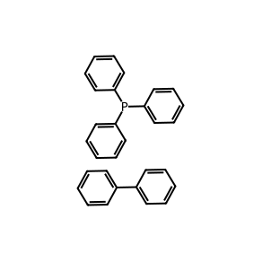 c1ccc(-c2ccccc2)cc1.c1ccc(P(c2ccccc2)c2ccccc2)cc1